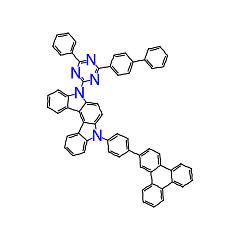 c1ccc(-c2ccc(-c3nc(-c4ccccc4)nc(-n4c5ccccc5c5c6c7ccccc7n(-c7ccc(-c8ccc9c%10ccccc%10c%10ccccc%10c9c8)cc7)c6ccc54)n3)cc2)cc1